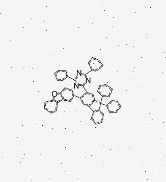 c1ccc(-c2nc(-c3ccccc3)nc(-c3cc4c(cc3-c3ccc5oc6ccccc6c5c3)-c3ccccc3C4(c3ccccc3)c3ccccc3)n2)cc1